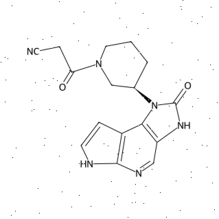 N#CCC(=O)N1CCC[C@@H](n2c(=O)[nH]c3cnc4[nH]ccc4c32)C1